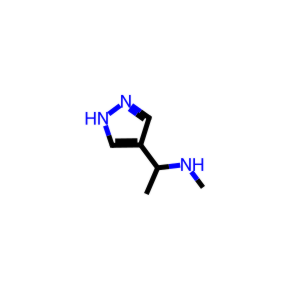 CNC(C)c1cn[nH]c1